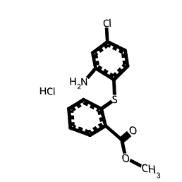 COC(=O)c1ccccc1Sc1ccc(Cl)cc1N.Cl